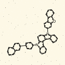 c1ccc2cc(-c3ccc(-n4c5ccccc5c5c6c7ccccc7n(-c7ccc8c(c7)oc7ccccc78)c6ccc54)cc3)ccc2c1